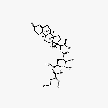 CO[C@H]1O[C@H](C(=O)O[C@H](C(=O)O)[C@@]2(C)CC[C@H]3[C@@H]4CCC5=CC(=O)CC[C@]5(C)[C@H]4CC[C@@]32C)[C@@H](O)[C@H](O)[C@H]1NC(=O)N(CCCl)N=O